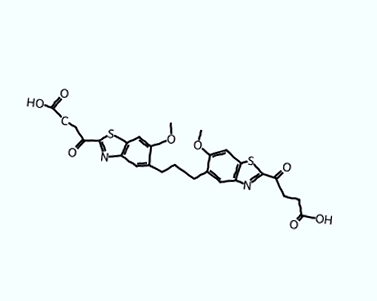 COc1cc2sc(C(=O)CCC(=O)O)nc2cc1CCCc1cc2nc(C(=O)CCC(=O)O)sc2cc1OC